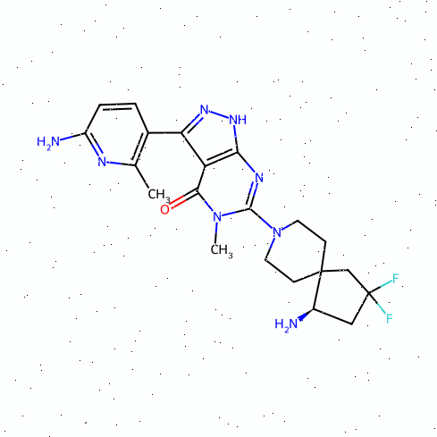 Cc1nc(N)ccc1-c1n[nH]c2nc(N3CCC4(CC3)CC(F)(F)C[C@H]4N)n(C)c(=O)c12